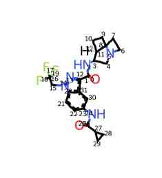 O=C(N[C@@H]1CN2CCC23CC[C@H]13)c1nn(CC(F)(F)F)c2ccc(NC(=O)C3CC3)cc12